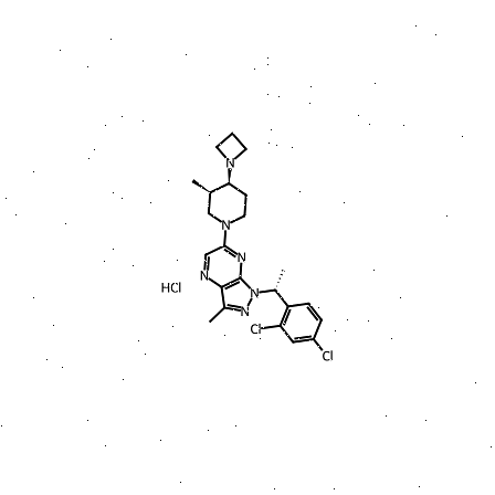 Cc1nn([C@H](C)c2ccc(Cl)cc2Cl)c2nc(N3CC[C@H](N4CCC4)[C@H](C)C3)cnc12.Cl